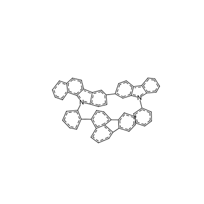 c1ccc(-n2c3ccccc3c3ccc(-c4ccc5c(c4)c4ccc6ccccc6c4n5-c4ccccc4-c4ccc5c6c(cccc46)-c4ccccc4-5)cc32)cc1